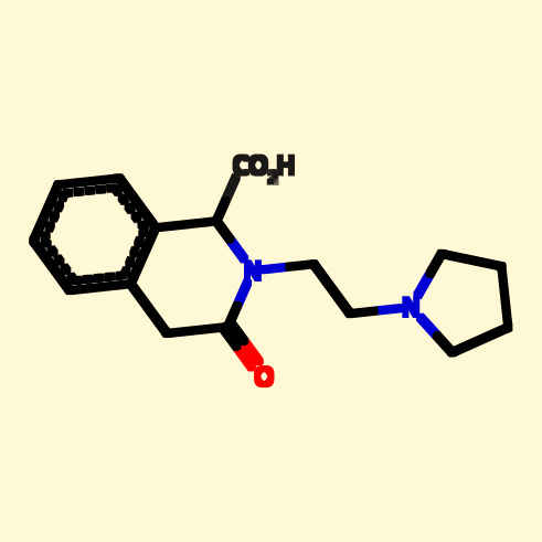 O=C(O)C1c2ccccc2CC(=O)N1CCN1CCCC1